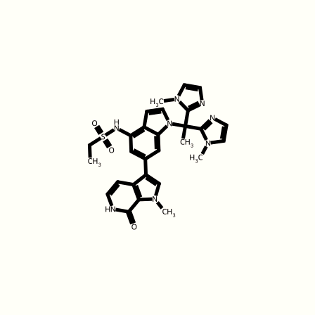 CCS(=O)(=O)Nc1cc(-c2cn(C)c3c(=O)[nH]ccc23)cc2c1ccn2C(C)(c1nccn1C)c1nccn1C